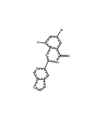 CCc1cc(Br)cc2c(=O)[nH]c(-c3cc4ccsc4cn3)nc12